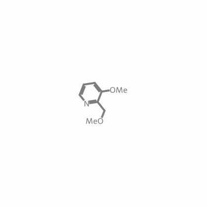 COCc1ncccc1OC